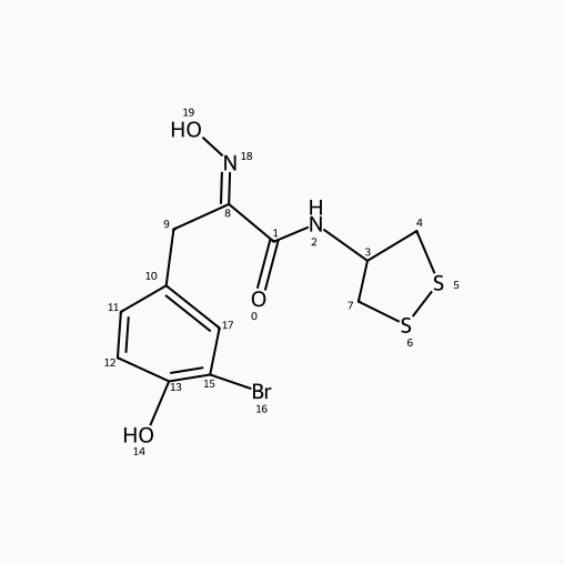 O=C(NC1CSSC1)/C(Cc1ccc(O)c(Br)c1)=N/O